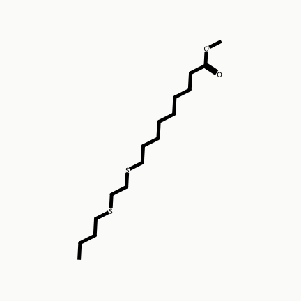 CCCCSCCSCCCCCCCCC(=O)OC